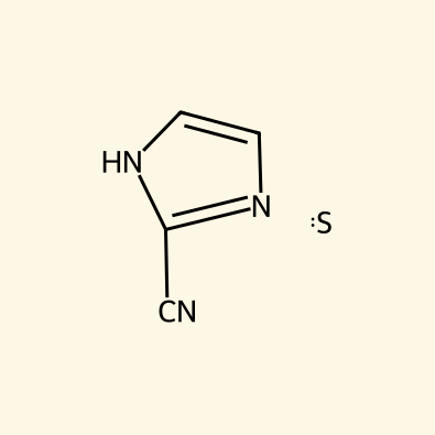 N#Cc1ncc[nH]1.[S]